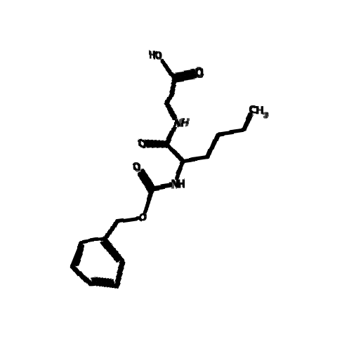 CCCCC(NC(=O)OCc1ccccc1)C(=O)NCC(=O)O